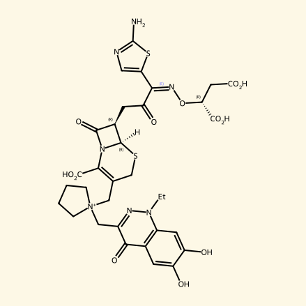 CCn1nc(C[N+]2(CC3=C(C(=O)O)N4C(=O)[C@@H](CC(=O)/C(=N\O[C@H](CC(=O)O)C(=O)O)c5cnc(N)s5)[C@H]4SC3)CCCC2)c(=O)c2cc(O)c(O)cc21